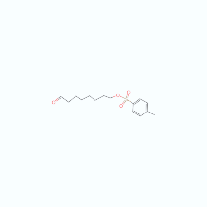 Cc1ccc(S(=O)(=O)OCCCCCCCC=O)cc1